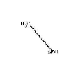 CCCCCCCCCC=CCCCCCC=CC=CC=CC=CC(=O)O